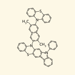 Cc1cc2cc(N3c4ccccc4Sc4cc5c6ccccc6n(-c6ccccc6)c5cc43)c(C)cc2cc1N1c2ccccc2Sc2ccccc21